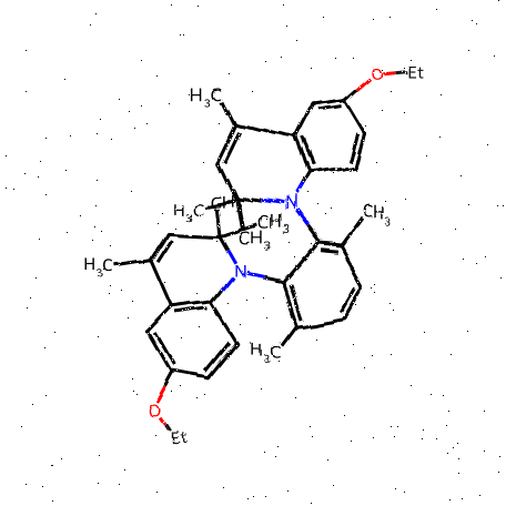 CCOc1ccc2c(c1)C(C)=CC(C)(C)N2c1c(C)ccc(C)c1N1c2ccc(OCC)cc2C(C)=CC1(C)C